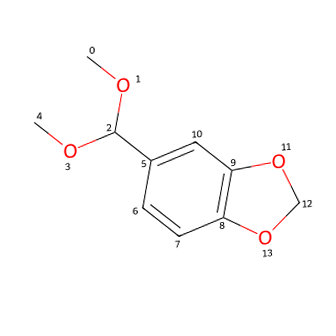 COC(OC)c1ccc2c(c1)OCO2